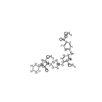 COC(=O)c1ccc(Sc2ccc(CN3CCC(N4C(=O)N(C5CCCCC5)CC4C)CC3)c(C)n2)cc1